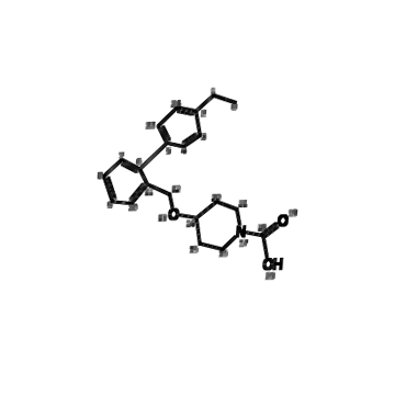 CCc1ccc(-c2ccccc2COC2CCN(C(=O)O)CC2)cc1